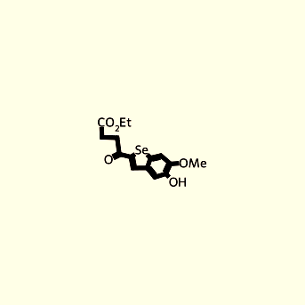 CCOC(=O)CCC(=O)c1cc2cc(O)c(OC)cc2[se]1